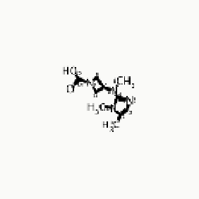 Cc1cnc(N(C)C2CN(C(=O)O)C2)n1C